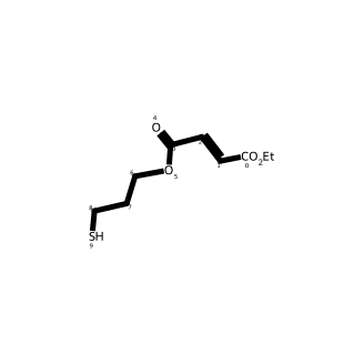 CCOC(=O)C=CC(=O)OCCCS